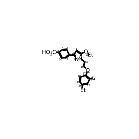 CCOc1cc(-c2ccc(C(=O)O)cc2)nn1CCOc1ccc(CC)cc1Cl